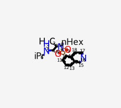 CCCCCCN(C(C)CNC(C)C)S(=O)(=O)c1cccc2cnccc12